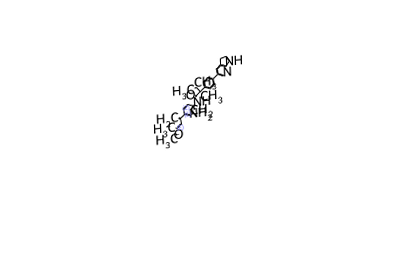 C=C(/C=C\C(=C/N)C(=C)/C=C(\C)OC)NC(=O)C(C)(c1ccc(-c2cnc3c(c2)CCN3)cc1)C(C)C